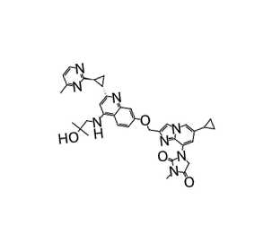 Cc1ccnc([C@H]2C[C@@H]2c2cc(NCC(C)(C)O)c3ccc(OCc4cn5cc(C6CC6)cc(N6CC(=O)N(C)C6=O)c5n4)cc3n2)n1